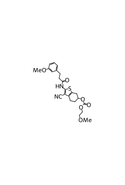 COCCOC(=O)OC1CCc2c(sc(NC(=O)CCc3cccc(OC)c3)c2C#N)C1